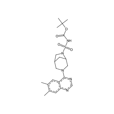 Cc1cc2ncnc(N3CC4CC(C3)N(S(=O)(=O)NC(=O)OC(C)(C)C)C4)c2cc1C